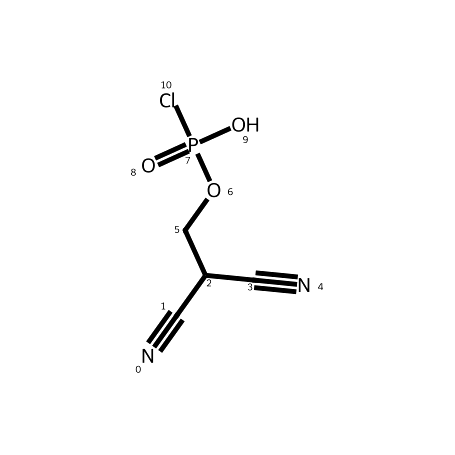 N#CC(C#N)COP(=O)(O)Cl